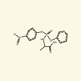 CC(NP(=O)(Oc1ccc([N+](=O)[O-])cc1)Oc1cccnc1)C(=O)O